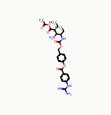 N=C(N)Nc1ccc(C(=O)Oc2ccc(COC(=O)NC(CC(=O)O)C(N)[C@H](CC(=O)O)C(=O)OC(=O)C(F)(F)F)cc2)cc1